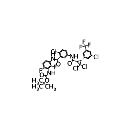 CC(C)(C)OC(=O)Nc1c(F)ccc(NC(=O)c2cc(NC(=O)[C@H]3[C@H](c4cc(Cl)cc(C(F)(F)F)c4)C3(Cl)Cl)ccc2Cl)c1F